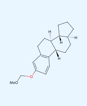 COCOc1ccc2c(c1)CC[C@H]1[C@@H]3CCC[C@H]3CC[C@H]21